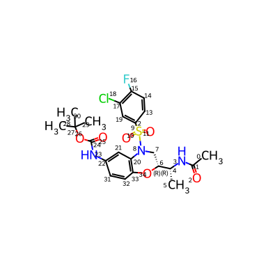 CC(=O)N[C@H](C)[C@H]1CN(S(=O)(=O)c2ccc(F)c(Cl)c2)c2cc(NC(=O)OC(C)(C)C)ccc2O1